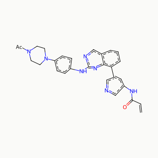 C=CC(=O)Nc1cncc(-c2cccc3cnc(Nc4ccc(N5CCN(C(C)=O)CC5)cc4)nc23)c1